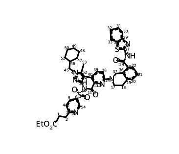 CCOC(=O)CCc1ccc(S(=O)(=O)NC(=O)c2nc(N3CCc4cccc(C(=O)Nc5nc6ccccc6s5)c4C3)ccc2-c2cnn(CC3CCCCC3)c2C)cn1